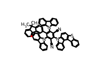 CC1(C)c2ccccc2-c2cc(-c3c(-n4c5ccccc5c5ccccc54)c(C#N)c(-n4c5ccccc5c5c6c(ccc54)sc4ccccc46)c(C#N)c3-n3c4ccccc4c4ccccc43)ccc21